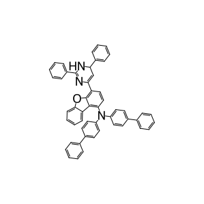 C1=C(c2ccc(N(c3ccc(-c4ccccc4)cc3)c3ccc(-c4ccccc4)cc3)c3c2oc2ccccc23)N=C(c2ccccc2)NC1c1ccccc1